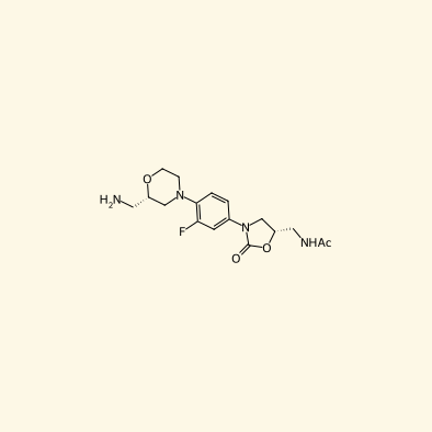 CC(=O)NC[C@H]1CN(c2ccc(N3CCO[C@@H](CN)C3)c(F)c2)C(=O)O1